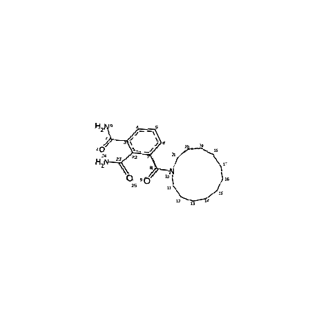 NC(=O)c1cccc(C(=O)N2CCCCCCCCCCC2)c1C(N)=O